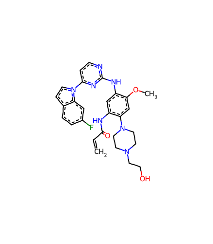 C=CC(=O)Nc1cc(Nc2nccc(-n3ccc4ccc(F)cc43)n2)c(OC)cc1N1CCN(CCO)CC1